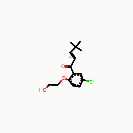 CC(C)(C)/C=C/C(=O)c1cc(Cl)ccc1OCCO